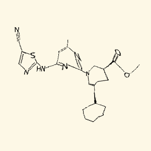 COC(=O)[C@H]1C[C@@H](C2CCCCC2)CN(c2nc(C)cc(Nc3ncc(C#N)s3)n2)C1